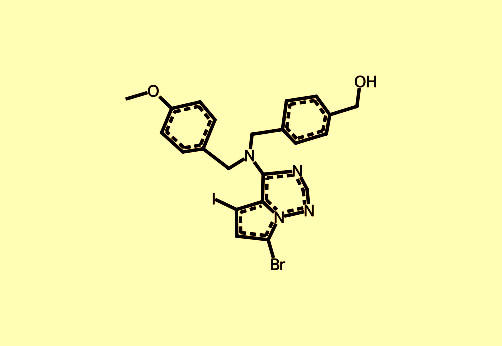 COc1ccc(CN(Cc2ccc(CO)cc2)c2ncnn3c(Br)cc(I)c23)cc1